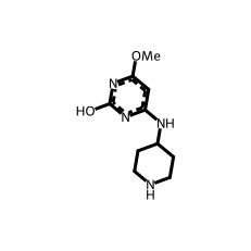 COc1cc(NC2CCNCC2)nc(O)n1